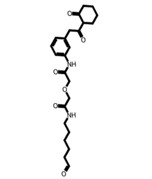 O=CCCCCCNC(=O)COCC(=O)Nc1cccc(CC(=O)C2CCCCC2=O)c1